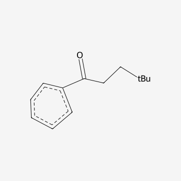 CC(C)(C)CCC(=O)c1ccccc1